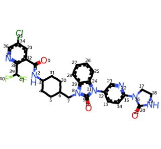 O=C(NC1CCC(Cn2c(=O)n(-c3ccc(N4CCNC4=O)nc3)c3ccccc32)CC1)c1cc(Cl)cnc1C(F)F